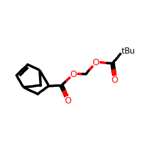 CC(C)(C)C(=O)OCOC(=O)C1CC2C=CC1C2